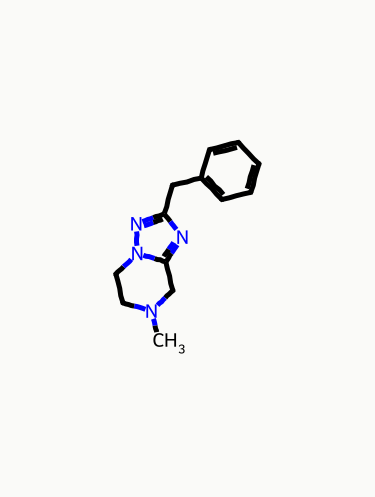 CN1CCn2nc(Cc3ccccc3)nc2C1